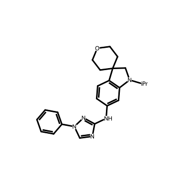 CC(C)N1CC2(CCOCC2)c2ccc(Nc3ncn(-c4ccccc4)n3)cc21